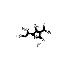 CCC(C)C1NC(=O)C(C(C)=O)=C1O.[Cu]